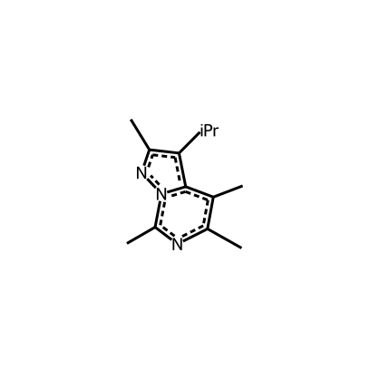 Cc1nc(C)n2nc(C)c(C(C)C)c2c1C